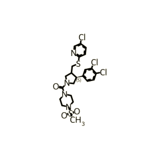 CS(=O)(=O)N1CCN(C(=O)N2CC(CSc3ccc(Cl)cn3)[C@@H](c3ccc(Cl)c(Cl)c3)C2)CC1